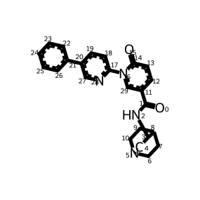 O=C(NC1CN2CCC1CC2)c1ccc(=O)n(-c2ccc(-c3ccccc3)cn2)c1